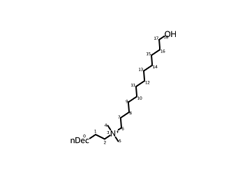 CCCCCCCCCCCC[N+](C)(C)CCCCCCCCCCCCO